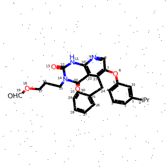 CC(C)c1cccc(Oc2cnc3[nH]c(=O)n(CCCOC=O)c(=O)c3c2Cc2ccccc2)c1